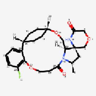 C[C@@H]1C[C@@]2(COCC(=O)N2)[C@@H]2CO[C@H]3CC[C@H](CC3)c3cccc(F)c3OCCC(=O)N12